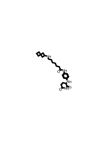 O=C1CCC(Nc2ccc(NC(=O)CCCCCCNC3CC4(CCC4)C3)cc2)C(=O)N1